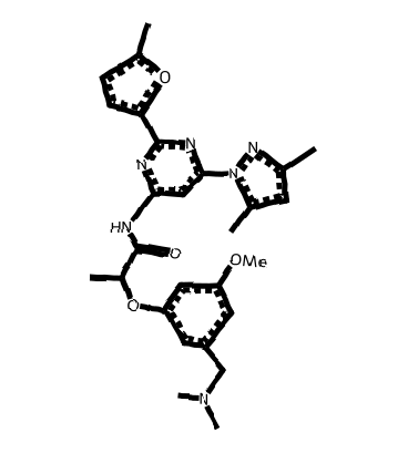 COc1cc(CN(C)C)cc(OC(C)C(=O)Nc2cc(-n3nc(C)cc3C)nc(-c3ccc(C)o3)n2)c1